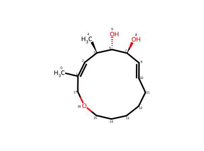 C/C1=C/[C@@H](C)[C@H](O)[C@@H](O)/C=C/CCCCCOC1